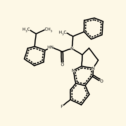 CC(C)c1ccccc1NC(=O)N(C(C)c1ccccc1)C1CCn2c1nc1cc(F)ccc1c2=O